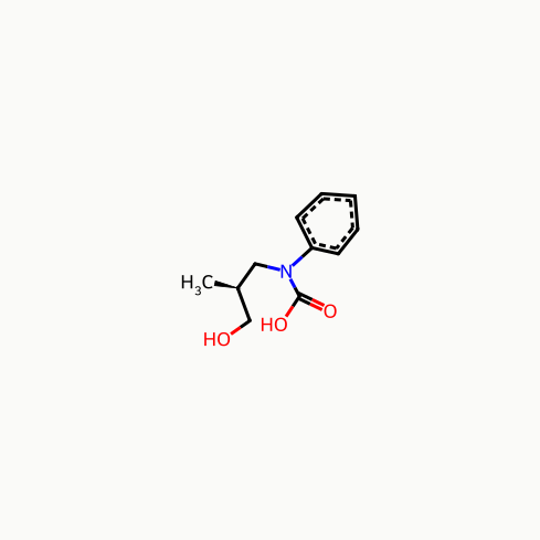 C[C@H](CO)CN(C(=O)O)c1ccccc1